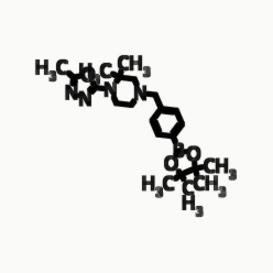 Cc1nnc(N2CCN(Cc3ccc(B4OC(C)(C)C(C)(C)O4)cc3)CC2(C)C)o1